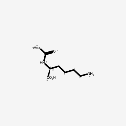 CCCCCCC(=O)N[C@@H](CCCCN)C(=O)O